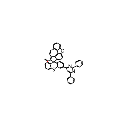 C=CC1=C(/C=C\C)c2c(ccc3oc4ccccc4c23)C12c1ccccc1Sc1cc(-c3cc(-c4ccccc4)nc(-c4ccccc4)n3)ccc12